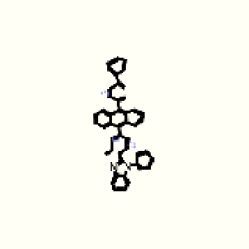 C=C(/C=C\C(=C)c1c2ccccc2c(C(/C=C\Cc2nc3ccccc3n2-c2ccccc2)=C/CC)c2ccccc12)c1ccccc1